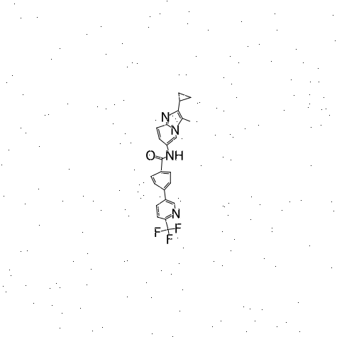 Cc1c(C2CC2)nc2ccc(NC(=O)c3ccc(-c4ccc(C(F)(F)F)nc4)cc3)cn12